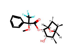 CO[C@@](C(=O)O[C@H]1[C@@H](O)[C@H](C)[C@@H]2O[C@H]1[C@H](C)[C@H]2C)(c1ccccc1)C(F)(F)F